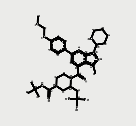 COCOc1ccc(-c2cc(C(=O)N3CCN(C(=O)OC(C)(C)C)CC3CC(F)(F)F)c3c(C)nn(C4CCCCO4)c3n2)cc1